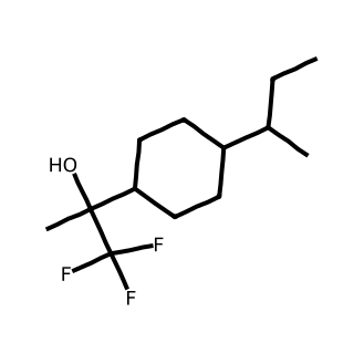 CCC(C)C1CCC(C(C)(O)C(F)(F)F)CC1